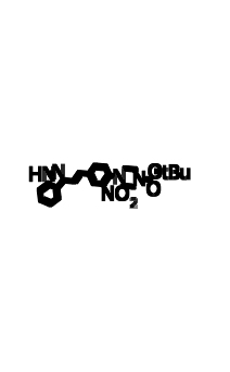 CC(C)(C)OC(=O)N1CCN(c2ccc(C=Cc3n[nH]c4ccccc34)cc2[N+](=O)[O-])CC1